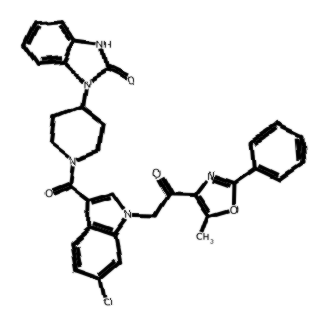 Cc1oc(-c2ccccc2)nc1C(=O)Cn1cc(C(=O)N2CCC(n3c(=O)[nH]c4ccccc43)CC2)c2ccc(Cl)cc21